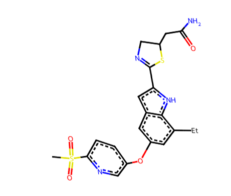 CCc1cc(Oc2ccc(S(C)(=O)=O)nc2)cc2cc(C3=NCC(CC(N)=O)S3)[nH]c12